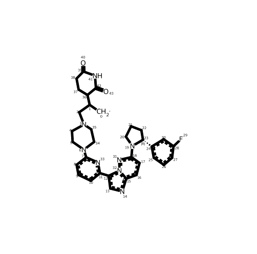 [CH2]C(CN1CCN(c2cccc(-c3cnc4ccc(N5CCC[C@@H]5c5cccc(F)c5)nn34)n2)CC1)C1CCC(=O)NC1=O